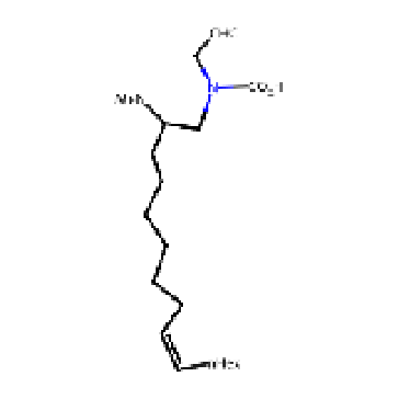 CCCCCC/C=C\CCCCCCC(CN(CC=O)C(=O)O)NC